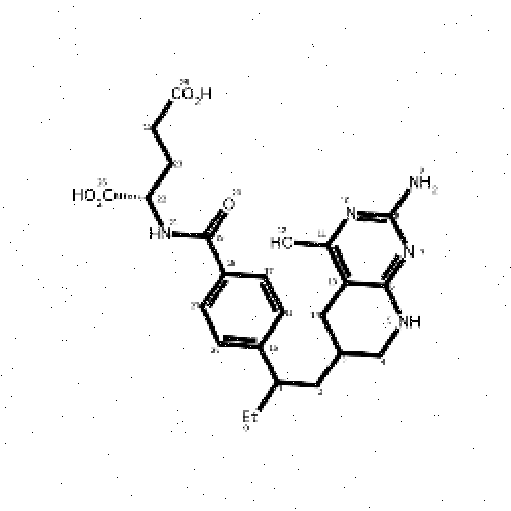 CCC(CC1CNc2nc(N)nc(O)c2C1)c1ccc(C(=O)N[C@@H](CCC(=O)O)C(=O)O)cc1